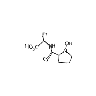 CC(C)C(NC(=O)C1CCCN1O)C(=O)O